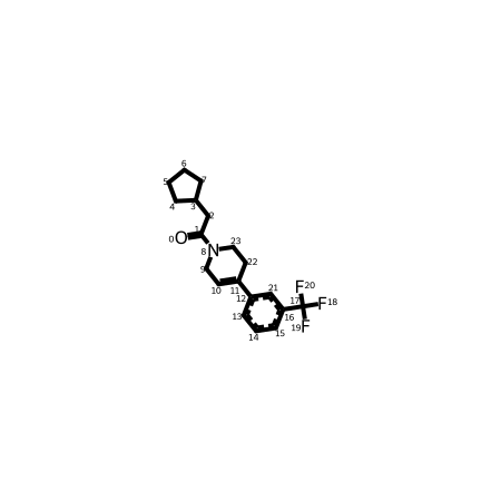 O=C(CC1CCCC1)N1CC=C(c2cccc(C(F)(F)F)c2)CC1